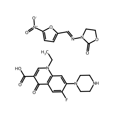 CCn1cc(C(=O)O)c(=O)c2cc(F)c(N3CCNCC3)cc21.O=C1OCCN1N=Cc1ccc([N+](=O)[O-])o1